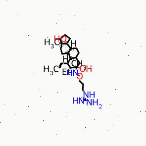 CC=CC1C(CC)C(O)(NOCCCNC(=N)N)CC2CC[C@@H]3[C@@H](CC[C@]4(C)CCC[C@@]34O)[C@]21C